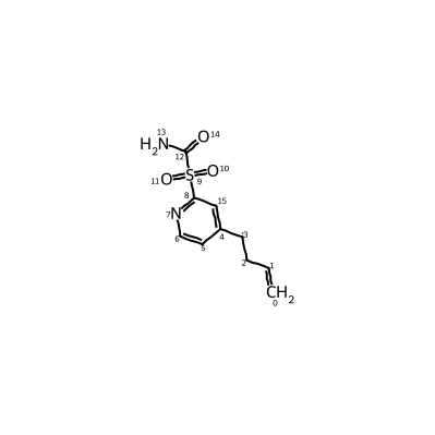 C=CC[CH]c1ccnc(S(=O)(=O)C(N)=O)c1